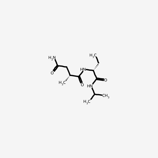 CC[C@@H](NC(=O)[C@H](C)CC(N)=O)C(=O)NC(C)C